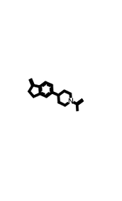 C=C1CCc2cc(C3CCN(C(=C)C)CC3)ccc21